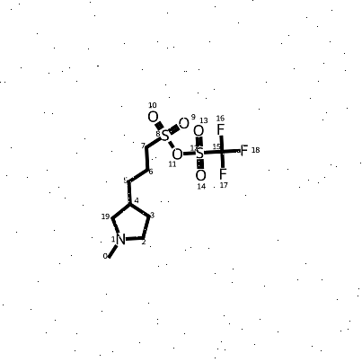 CN1CCC(CCCS(=O)(=O)OS(=O)(=O)C(F)(F)F)C1